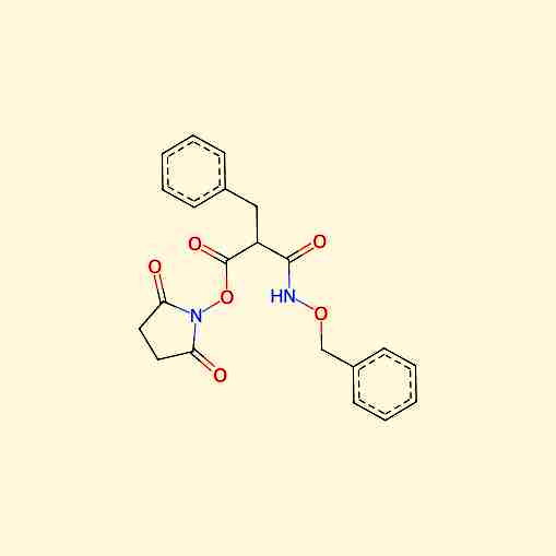 O=C(NOCc1ccccc1)C(Cc1ccccc1)C(=O)ON1C(=O)CCC1=O